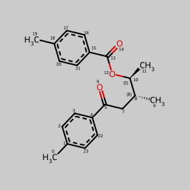 Cc1ccc(C(=O)C[C@@H](C)[C@H](C)OC(=O)c2ccc(C)cc2)cc1